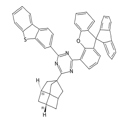 c1ccc2c(c1)Oc1c(-c3nc(-c4ccc5c(c4)sc4ccccc45)nc(C45CC6C[C@@H]7C[C@@H](C4)C67C5)n3)cccc1C21c2ccccc2-c2ccccc21